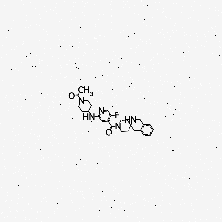 CC(=O)N1CCC(Nc2cc(C(=O)N3CCC4(CC3)Cc3ccccc3CN4)c(F)cn2)CC1